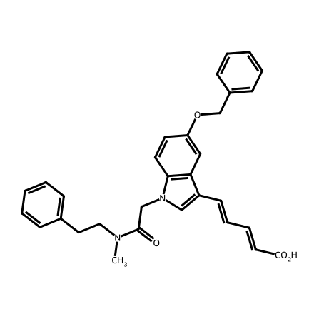 CN(CCc1ccccc1)C(=O)Cn1cc(C=CC=CC(=O)O)c2cc(OCc3ccccc3)ccc21